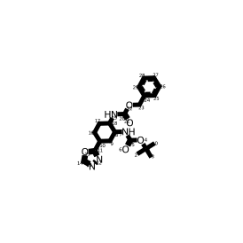 CC(C)(C)OC(=O)NC1CC(c2nnco2)CCC1NC(=O)OCc1ccccc1